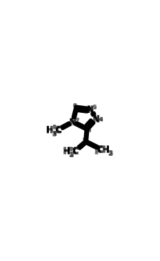 CC(C)c1nncn1C